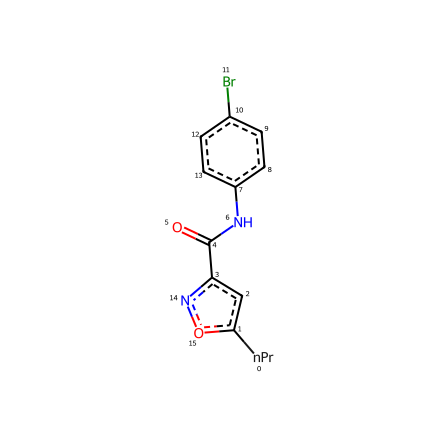 CCCc1cc(C(=O)Nc2ccc(Br)cc2)no1